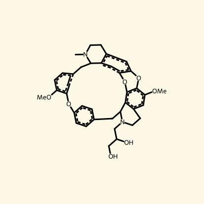 COc1ccc2cc1Oc1ccc(cc1)CC1c3c(cc(OC)c4c3Oc3cc5c(cc3O4)CCN(C)C5C2)CCN1CC(O)CO